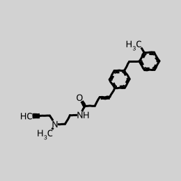 C#CCN(C)CCNC(=O)C/C=C/c1ccc(Cc2ccccc2C)cc1